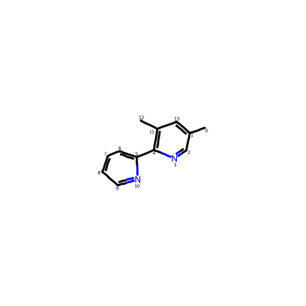 Cc1cnc(-c2ccccn2)c(C)c1